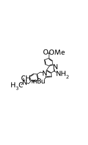 CCCCc1cc2c(N)nc3cc(C(=O)OC)ccc3c2n1Cc1ccc(CN(C)C)cc1